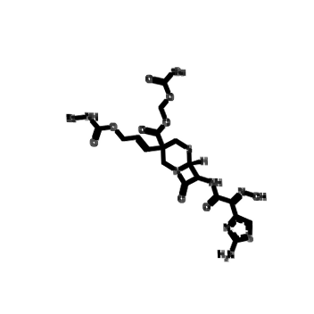 CCNC(=O)OCC=CC1(C(=O)OCOC(=O)C(C)(C)C)CS[C@@H]2C(NC(=O)C(=NO)c3csc(N)n3)C(=O)N2C1